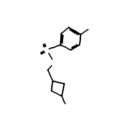 Cc1ccc(S(=O)(=O)OCC2CC(C#N)C2)cc1